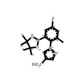 CCOC(=O)c1cnn(-c2c(C)cc(F)cc2B2OC(C)(C)C(C)(C)O2)c1